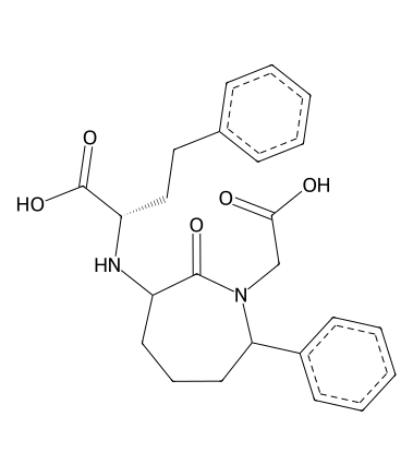 O=C(O)CN1C(=O)C(N[C@@H](CCc2ccccc2)C(=O)O)CCCC1c1ccccc1